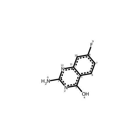 Nc1nc(O)c2ccc(F)cc2n1